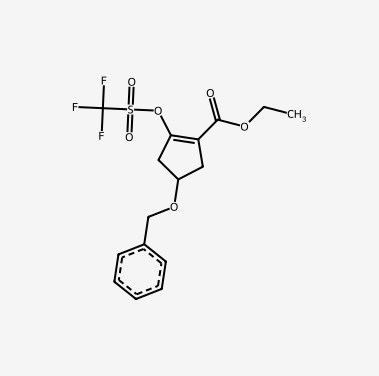 CCOC(=O)C1=C(OS(=O)(=O)C(F)(F)F)CC(OCc2ccccc2)C1